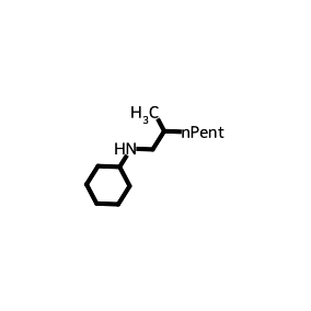 CCCCCC(C)CNC1CCCCC1